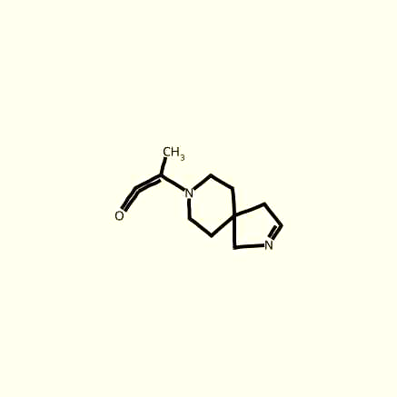 CC(=C=O)N1CCC2(CC=NC2)CC1